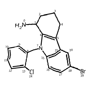 NC1CCCc2c1n(-c1ccccc1Cl)c1ccc(Br)cc21